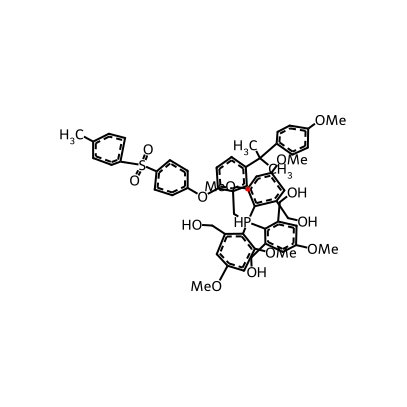 COc1ccc(C(C)(C)c2ccc(Oc3ccc(S(=O)(=O)c4ccc(C)cc4)cc3)c(C[PH](c3c(CO)cc(OC)cc3CO)(c3c(CO)cc(OC)cc3OC)c3c(CO)cc(OC)cc3OC)c2)cc1